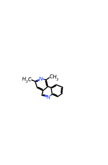 Cc1cc2cnc3ccccc3c2c(C)n1